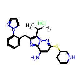 CC(C)c1c(Cc2ccccc2-n2cccn2)nc2c(N)cc(SC3CCCNC3)nn12.Cl